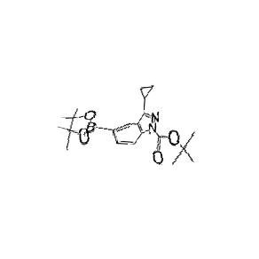 CC(C)(C)OC(=O)n1nc(C2CC2)c2cc(B3OC(C)(C)C(C)(C)O3)ccc21